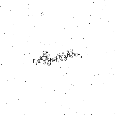 O=C(NCC1CCN(CC(=O)N2CCC(C(F)(F)F)C2)CC1)c1cc(C(F)(F)F)cc(C(F)(F)F)c1